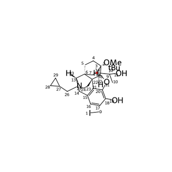 CI.CO[C@@]12CC[C@@]3(C[C@@H]1[C@](C)(O)C(C)(C)C)[C@H]1Cc4ccc(O)c5c4[C@@]3(CCN1CC1CC1)[C@H]2O5